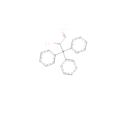 OC(C=P)C(c1ccccc1)(c1ccccc1)c1ccccc1